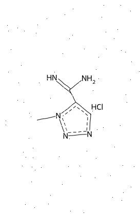 Cl.Cn1nncc1C(=N)N